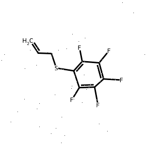 C=CCSc1c(F)c(F)c(F)c(F)c1F